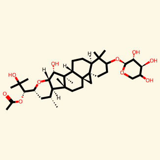 CC(=O)O[C@@H]([C@H]1C[C@@H](C)[C@H]2[C@H](O1)[C@H](O)[C@@]1(C)[C@@H]3CC[C@H]4C(C)(C)C(O[C@@H]5OCC(O)[C@H](O)[C@H]5O)CC[C@@]45C[C@@]35CC[C@]21C)C(C)(C)O